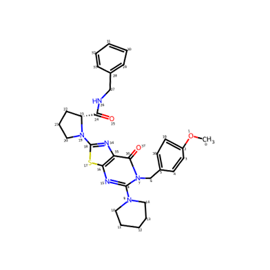 COc1ccc(Cn2c(N3CCCCC3)nc3sc(N4CCC[C@@H]4C(=O)NCc4ccccc4)nc3c2=O)cc1